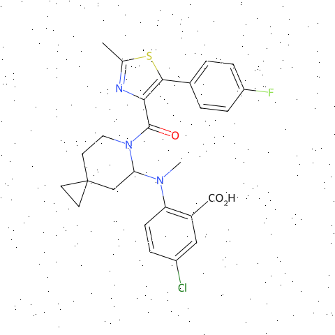 Cc1nc(C(=O)N2CCC3(CC3)CC2N(C)c2ccc(Cl)cc2C(=O)O)c(-c2ccc(F)cc2)s1